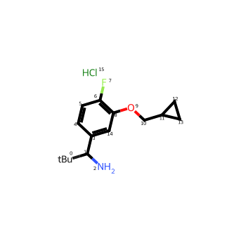 CC(C)(C)C(N)c1ccc(F)c(OCC2CC2)c1.Cl